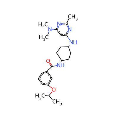 Cc1nc(N[C@H]2CC[C@@H](NC(=O)c3cccc(OC(C)C)c3)CC2)cc(N(C)C)n1